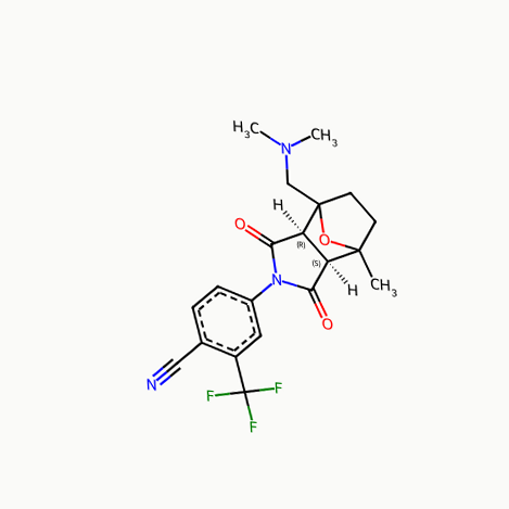 CN(C)CC12CCC(C)(O1)[C@H]1C(=O)N(c3ccc(C#N)c(C(F)(F)F)c3)C(=O)[C@H]12